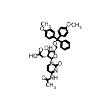 COc1ccc(C(OC[C@H]2O[C@@H](n3ccc(NC(C)=O)nc3=O)[C@H](CC(=O)O)C2O)(c2ccccc2)c2ccc(OC)cc2)cc1